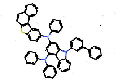 c1ccc(-c2cccc(-n3c4ccccc4c4c(N(c5ccccc5)c5ccccc5)cc(N(c5ccccc5)c5ccc6sc7ccc8ccccc8c7c6c5)cc43)c2)cc1